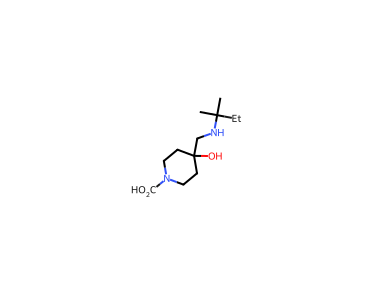 CCC(C)(C)NCC1(O)CCN(C(=O)O)CC1